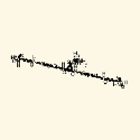 CC(CN)(CN)CNC(=O)c1cc(C(=O)NCCCOCCOCCOCCCNC(=O)CCCCC2SCC3NC(=O)NC32)cc(C(=O)NCCCOCCOCCOCCCNC(=O)CCCCC2SCC3NC(=O)NC32)c1